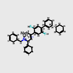 CN/C(=C\C(C1=CC=CCC1)N(C)CC1C=CC=CC1)c1cc(F)c(C2=C[C@@H](C3CC=CCC3)CC=C2)cc1F